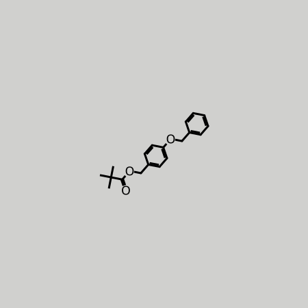 CC(C)(C)C(=O)OCc1ccc(OCc2ccccc2)cc1